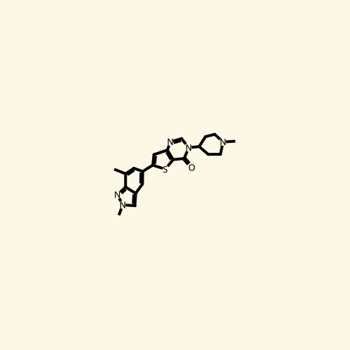 Cc1cc(-c2cc3ncn(C4CCN(C)CC4)c(=O)c3s2)cc2cn(C)nc12